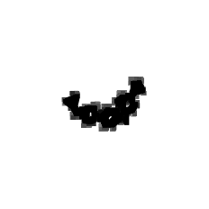 C1=CC(N2CCc3nc4ccc(N5CCN(CC6CC6)CC5)cc4n3CC2)=C1